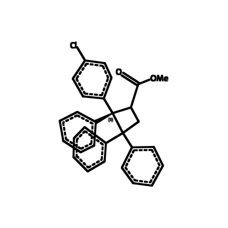 COC(=O)C1CC(c2ccccc2)(c2ccccc2)[C@]1(c1ccccc1)c1ccc(Cl)cc1